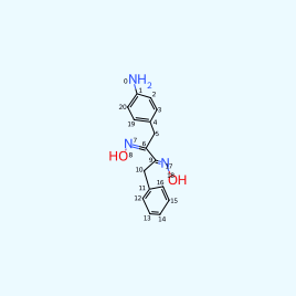 Nc1ccc(CC(=NO)C(Cc2ccccc2)=NO)cc1